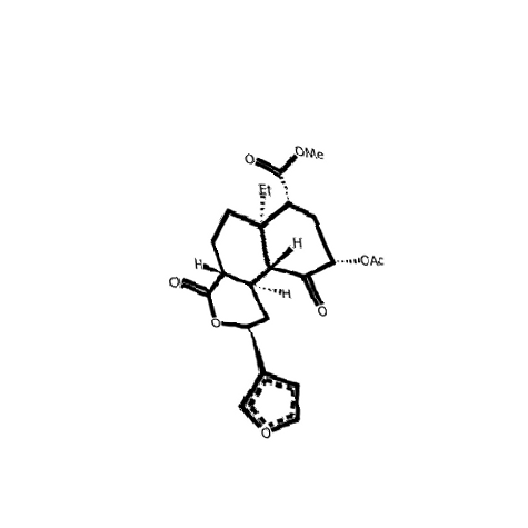 CC[C@@]12CC[C@H]3C(=O)O[C@H](c4ccoc4)C[C@@H]3[C@H]1C(=O)[C@@H](OC(C)=O)C[C@H]2C(=O)OC